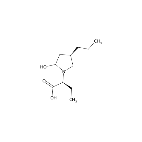 CCC[C@@H]1CC(O)N([C@@H](CC)C(=O)O)C1